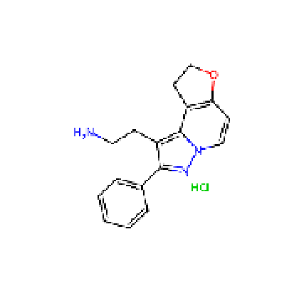 Cl.NCCc1c(-c2ccccc2)nn2ccc3c(c12)CCO3